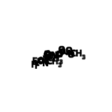 COC(=O)C[C@@H]1COc2cc(NCc3cccc(-n4c(C)nc5cc(C(F)(F)F)ccc54)c3C)ccc21